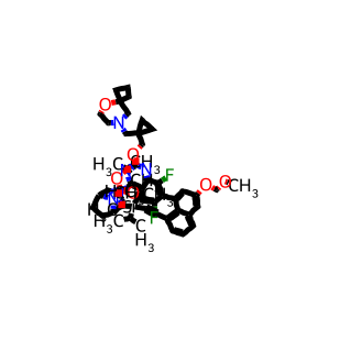 COCOc1cc(-c2c(F)cc3c(N4CC5CCC(C4)N5C(=O)OC(C)(C)C)nc(OCC4(CN5CCOC6(CCC6)C5)CC4)nc3c2F)c2c(C#C[Si](C(C)C)(C(C)C)C(C)C)cccc2c1